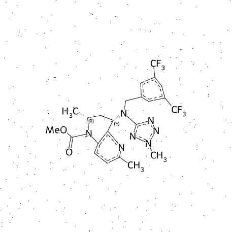 COC(=O)N1c2ccc(C)nc2[C@@H](N(Cc2cc(C(F)(F)F)cc(C(F)(F)F)c2)c2nnn(C)n2)C[C@H]1C